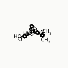 COc1ccc(C)cc1-c1ccc(S(=O)(=O)N2c3ccccc3C[C@H]2C(=O)NCc2ccc(C(=O)O)cc2)cc1